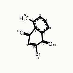 Cc1cccc2c1C(=O)C=C(Br)C2=O